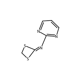 c1cnc(N=C2SCS2)nc1